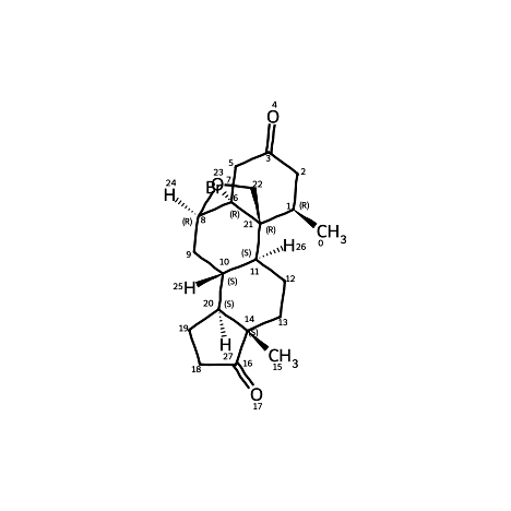 C[C@@H]1CC(=O)C[C@]2(Br)[C@H]3C[C@@H]4[C@H](CC[C@]5(C)C(=O)CC[C@@H]45)[C@@]12CO3